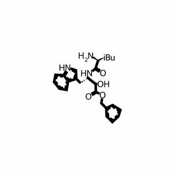 CC[C@H](C)[C@H](N)C(=O)N[C@@H](Cc1c[nH]c2ccccc12)C(O)C(=O)OCc1ccccc1